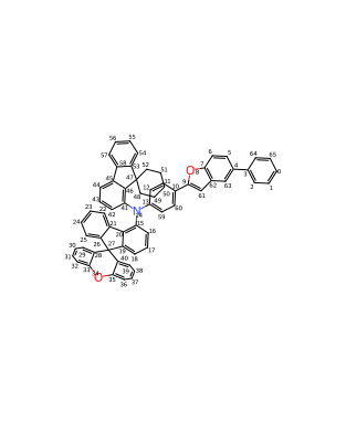 c1ccc(-c2ccc3oc(-c4ccc(N(c5cccc6c5-c5ccccc5C65c6ccccc6Oc6ccccc65)c5cccc6c5C5(CCCCC5)c5ccccc5-6)cc4)cc3c2)cc1